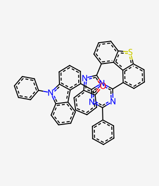 c1ccc(-c2nc(-c3cccc4sc5cccc(-c6nc7ccccc7o6)c5c34)nc(-c3cccc4c3c3ccccc3n4-c3ccccc3)n2)cc1